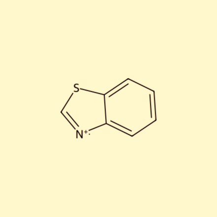 C1=[N+]c2ccccc2S1